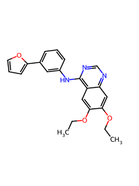 CCOc1cc2ncnc(Nc3cccc(-c4ccco4)c3)c2cc1OCC